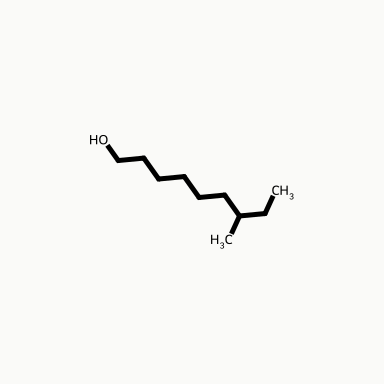 CCC(C)CCCCCCO